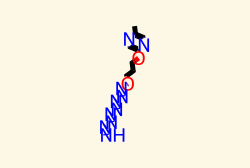 Cc1cnc(OCCCON=NN=NN=NN=N)cn1